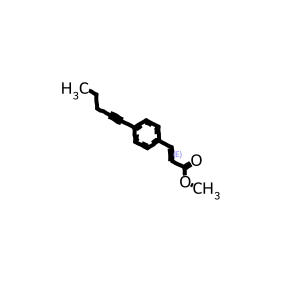 CCCC#Cc1ccc(/C=C/C(=O)OC)cc1